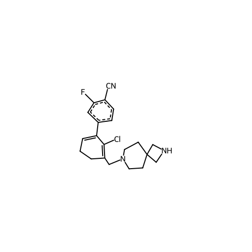 N#Cc1ccc(C2=CCCC(CN3CCC4(CC3)CNC4)=C2Cl)cc1F